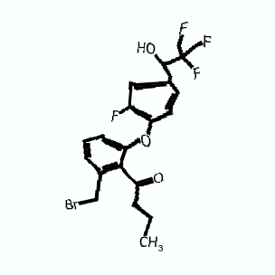 CCCC(=O)c1c(CBr)cccc1Oc1ccc(C(O)C(F)(F)F)cc1F